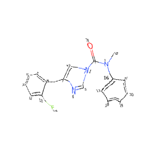 CN(C(=O)n1cnc(-c2ccccc2F)c1)c1ccccc1